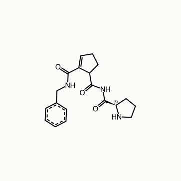 O=C(NCc1ccccc1)C1=CCCC1C(=O)NC(=O)[C@H]1CCCN1